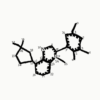 Cc1cc(C)c(C)c(-c2cnc3c(C4CCC(C)(C)C4)cccc3[n+]2C)c1